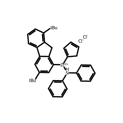 CC(C)(C)c1cc2c([c]([Zr+2]([C]3=CC=CC3)[SiH](c3ccccc3)c3ccccc3)c1)Cc1c-2cccc1C(C)(C)C.[Cl-].[Cl-]